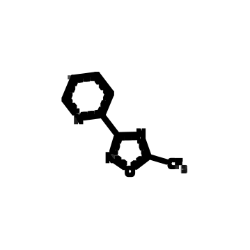 FC(F)(F)c1nc(-c2cc[c]cn2)no1